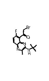 Cc1nc2ccc(F)c(C(=O)CBr)c2nc1NC(C)(C)C